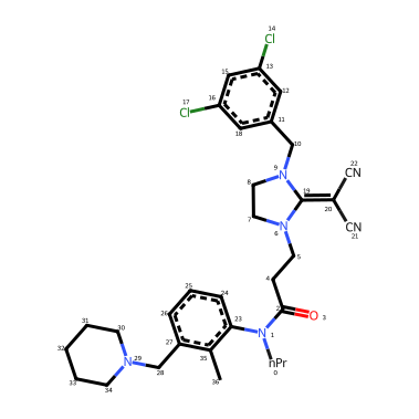 CCCN(C(=O)CCN1CCN(Cc2cc(Cl)cc(Cl)c2)C1=C(C#N)C#N)c1cccc(CN2CCCCC2)c1C